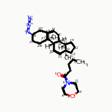 CC(CCC(=O)N1CCOCC1)[C@H]1CC[C@H]2[C@@H]3CC=C4C[C@H](N=[N+]=[N-])CC[C@]4(C)[C@H]3CC[C@]12C